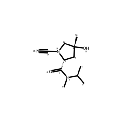 CC(C)N(C)C(=O)[C@H]1C[C@@](C)(O)CN1C#N